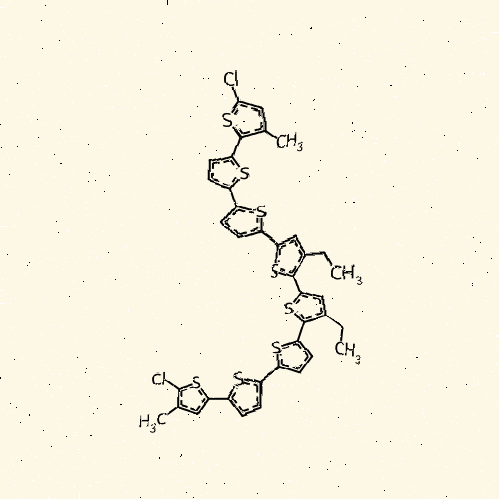 CCc1cc(-c2ccc(-c3ccc(-c4sc(Cl)cc4C)s3)s2)sc1-c1cc(CC)c(-c2ccc(-c3ccc(-c4cc(C)c(Cl)s4)s3)s2)s1